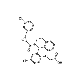 O=C(O)COc1ccc(Cl)cc1C1c2ccccc2CCN1C(=O)C1CC1c1cccc(Cl)c1